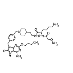 CCCCOc1nc(N)c2[nH]c(=O)n(Cc3ccc(CN4CCC(CCNC(=O)C(CCCCN)NC(=O)CON)CC4)cc3)c2n1